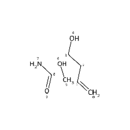 C=CCCO.CO.NC=O